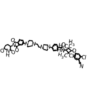 CC1(C)C(NC(=O)c2ccc(N3CCN(CCN4CCN(c5ccc6c(c5)C(=O)N(C5CCC(=O)NC5=O)C6=O)CC4)CC3)cc2)C(C)(C)C1Oc1ccc(C#N)c(Cl)c1